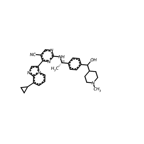 C[C@H](Nc1ncc(C#N)c(-c2cnc3c(C4CC4)cccn23)n1)c1ccc(C(O)C2CCN(C)CC2)cc1